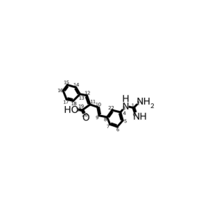 N=C(N)Nc1cccc(C=CC(=Cc2ccccc2)C(=O)O)c1